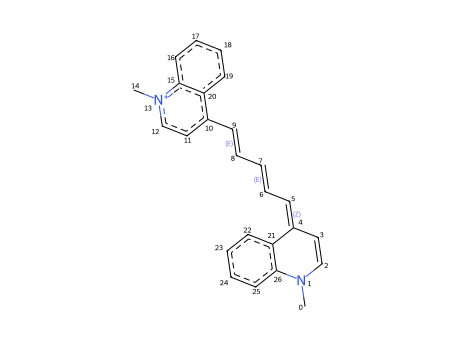 CN1C=C/C(=C/C=C/C=C/c2cc[n+](C)c3ccccc23)c2ccccc21